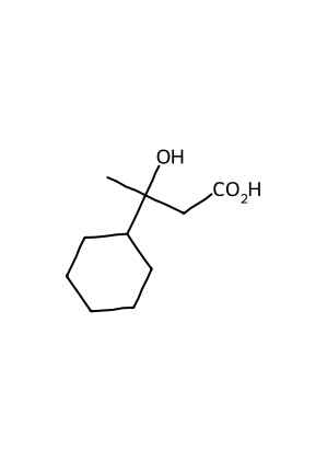 CC(O)(CC(=O)O)C1CCCCC1